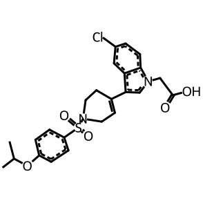 CC(C)Oc1ccc(S(=O)(=O)N2CC=C(c3cn(CC(=O)O)c4ccc(Cl)cc34)CC2)cc1